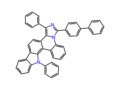 c1ccc(-c2ccc(-c3nc(-c4ccccc4)c4c5ccc6c7ccccc7n(-c7ccccc7)c6c5c5ccccc5n34)cc2)cc1